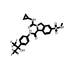 CNS(=O)(=O)c1ccc2c(c1)CN(C(=O)NC1CC1)C2C(=O)Nc1ccc(C(O)(C(F)(F)F)C(F)(F)F)cc1